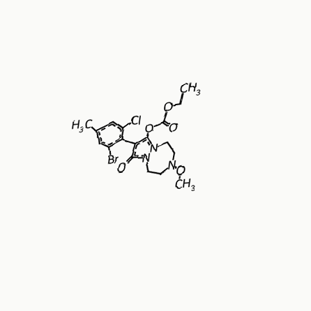 CCOC(=O)Oc1c(-c2c(Cl)cc(C)cc2Br)c(=O)n2n1CCN(OC)CC2